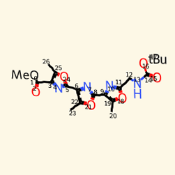 COC(=O)c1nc(-c2nc(-c3nc(CNC(=O)OC(C)(C)C)oc3C)oc2C)oc1C